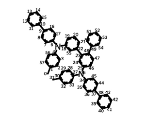 Cc1ccc(N(c2ccc(-c3ccccc3)cc2)c2cccc(-c3cc(N(c4ccc(C)cc4)c4ccc(-c5ccccc5)cc4)ccc3-c3ccccc3)c2)cc1